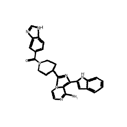 Nc1nccn2c(C3CCN(C(=O)c4ccc5[nH]cnc5c4)CC3)nc(-c3cc4ccccc4[nH]3)c12